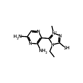 CCn1c(S)n[n+](C)c1-c1ncc(N)nc1N